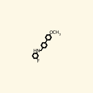 COc1ccc(-c2ccc(CNc3cccc(F)c3)cc2)cc1